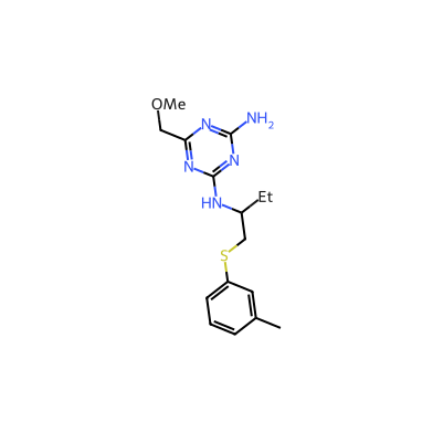 CCC(CSc1cccc(C)c1)Nc1nc(N)nc(COC)n1